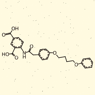 O=C(Cc1ccc(OCCCCOc2ccccc2)cc1)Nc1ccc(C(=O)O)cc1C(=O)O